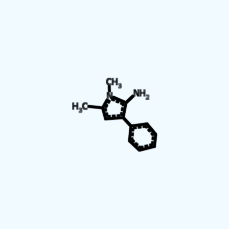 Cc1cc(-c2ccccc2)c(N)n1C